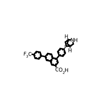 O=C(O)c1cc(-c2ccc([C@H]3C[C@H]4C[C@@H]3CN4)cc2)c2ccc(-c3ccc(C(F)(F)F)cc3)cc2c1